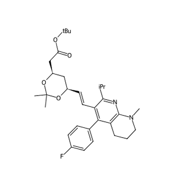 CC(C)c1nc2c(c(-c3ccc(F)cc3)c1C=C[C@@H]1C[C@H](CC(=O)OC(C)(C)C)OC(C)(C)O1)CCCN2C